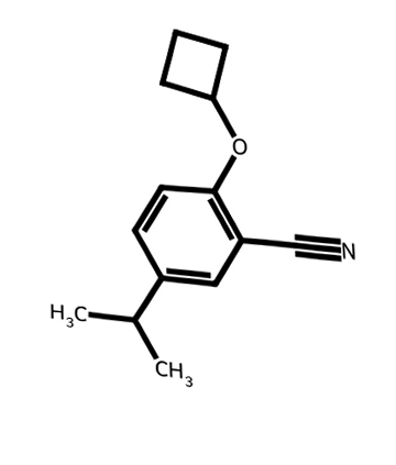 CC(C)c1ccc(OC2CCC2)c(C#N)c1